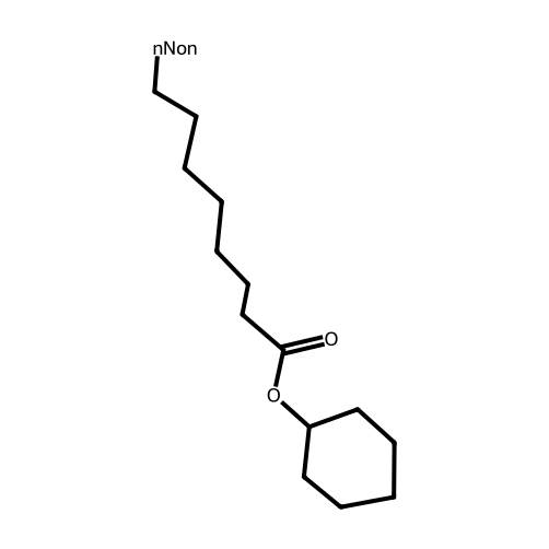 CCCCCCCCCCCCCCCCC(=O)OC1CCCCC1